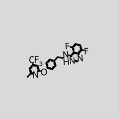 Cc1cc(C(F)(F)F)cc(Oc2ccc(CCNc3ncnc4c(F)ccc(F)c34)cc2)n1